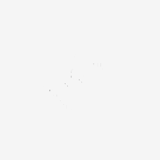 C=CCOCc1nc(N2C[C@@H](C)O[C@@H](C)C2)cc(C(=O)O)c1C=C